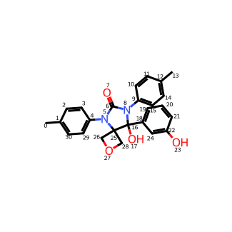 Cc1ccc(N2C(=O)N(c3ccc(C)cc3)C(O)(c3cccc(O)c3)C23COC3)cc1